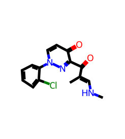 CN/C=C(\C)C(=O)c1nn(-c2ccccc2Cl)ccc1=O